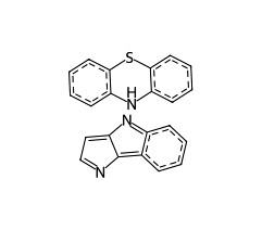 C1=NC2=c3ccccc3=NC2=C1.c1ccc2c(c1)Nc1ccccc1S2